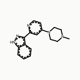 CN1CCN(c2ccnc(-c3n[nH]c4ccccc34)c2)CC1